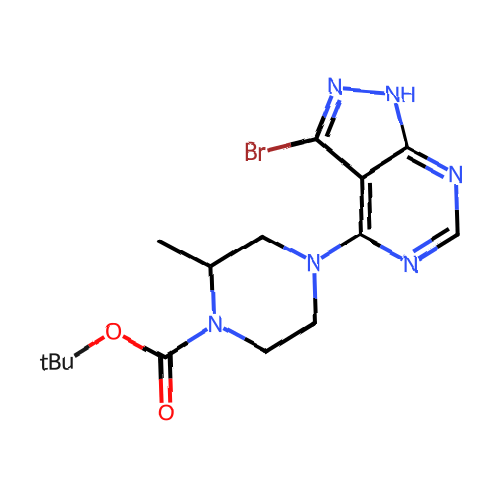 CC1CN(c2ncnc3[nH]nc(Br)c23)CCN1C(=O)OC(C)(C)C